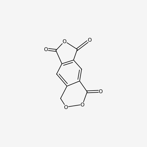 O=C1OOCc2cc3c(cc21)C(=O)OC3=O